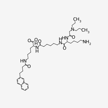 CCCN(CCC)CC(=O)NC(CCCCN)C(=O)NCCCCCC(=O)NC(CCCCNC(=O)CCCc1ccc2ccccc2c1)C(=O)O